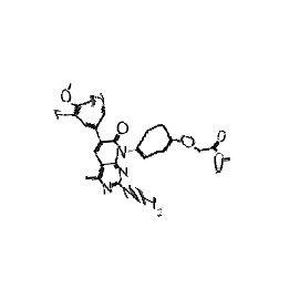 COC(=O)CO[C@H]1CC[C@H](n2c(=O)c(-c3cnc(OC)c(F)c3)cc3c(C)nc(N)nc32)CC1